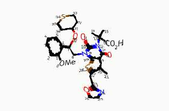 COc1ccccc1[C@H](Cn1c(=O)n(C(C)(C)C(=O)O)c(=O)c2c(C)c(-c3ncco3)sc21)OC1CCSCC1